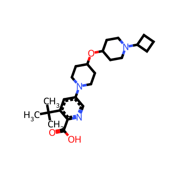 CC(C)(C)c1cc(N2CCC(OC3CCN(C4CCC4)CC3)CC2)cnc1C(=O)O